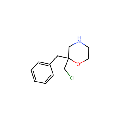 ClCC1(Cc2ccccc2)CNCCO1